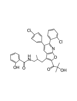 CC(CNC(=O)c1ccccc1O)Cc1c(C(=O)C(C)(C)O)oc2nc(-c3ccccc3Cl)c(-c3ccc(Cl)cc3)cc12